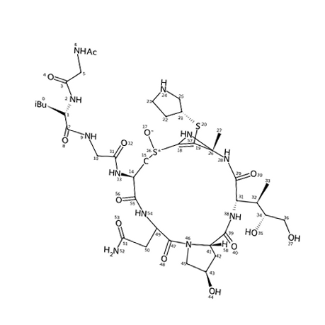 CC[C@H](C)[C@H](NC(=O)CNC(C)=O)C(=O)NCC(=O)N[C@H]1C[S+]([O-])C2=C(S[C@@H]3CCNC3)[C@@](C)(NC(=O)[C@H]([C@@H](C)[C@@H](O)CO)NC(=O)[C@@H]3C[C@@H](O)CN3C(=O)C(CC(N)=O)NC1=O)N2